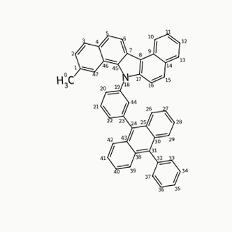 Cc1ccc2ccc3c4c5ccccc5ccc4n(-c4cccc(-c5c6ccccc6c(-c6ccccc6)c6ccccc56)c4)c3c2c1